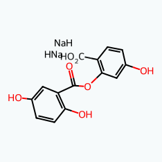 O=C(Oc1cc(O)ccc1C(=O)O)c1cc(O)ccc1O.[NaH].[NaH]